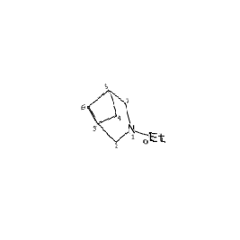 CCN1CC2CC(C2)C1